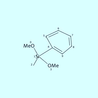 CO[Si](C)(OC)c1[c]cccc1